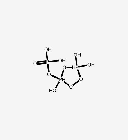 O=P(O)(O)O[PH]1(O)OO[PH](O)(O)O1